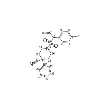 C=CC(c1ccc(C)cc1)S(=O)(=O)N1CCC(C#N)(c2ccccc2)CC1